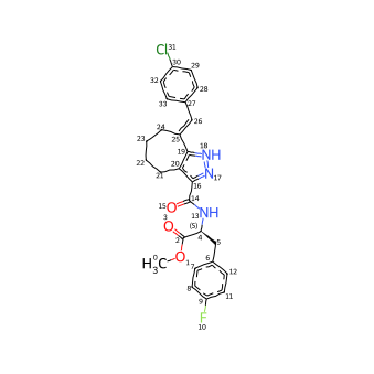 COC(=O)[C@H](Cc1ccc(F)cc1)NC(=O)c1n[nH]c2c1CCCCC2=Cc1ccc(Cl)cc1